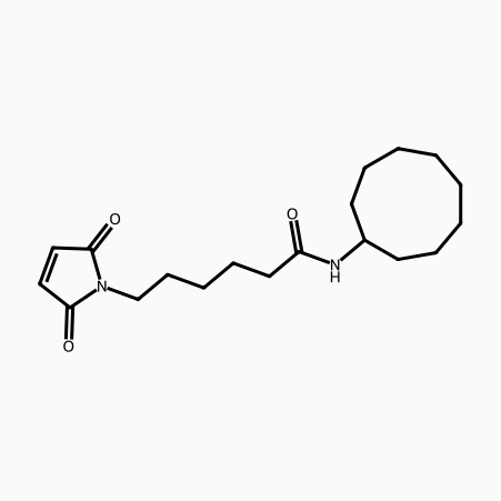 O=C(CCCCCN1C(=O)C=CC1=O)NC1CCCCCCCC1